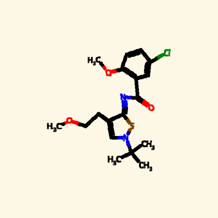 COCCc1cn(C(C)(C)C)s/c1=N\C(=O)c1cc(Cl)ccc1OC